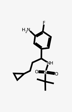 CC(C)(C)S(=O)(=O)N[C](CCC1CC1)c1ccc(F)c(N)c1